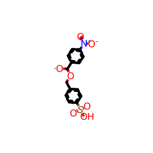 [O]C(OCc1ccc(S(=O)(=O)O)cc1)c1ccc([N+](=O)[O-])cc1